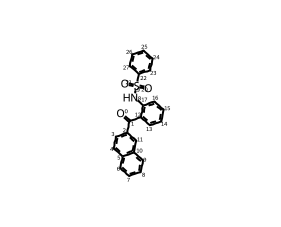 O=C(c1ccc2ccccc2c1)c1ccccc1NS(=O)(=O)c1ccccc1